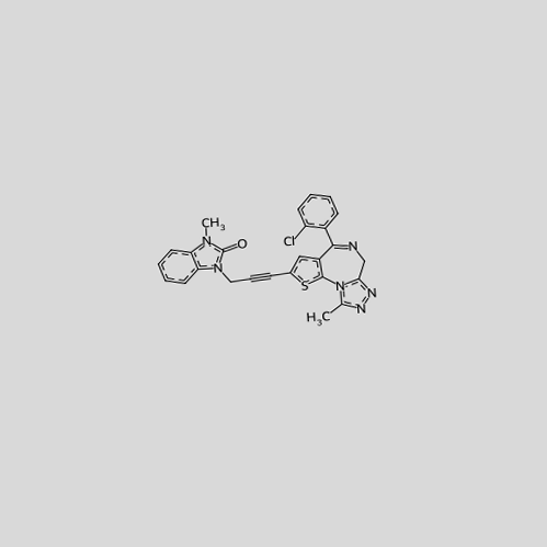 Cc1nnc2n1-c1sc(C#CCn3c(=O)n(C)c4ccccc43)cc1C(c1ccccc1Cl)=NC2